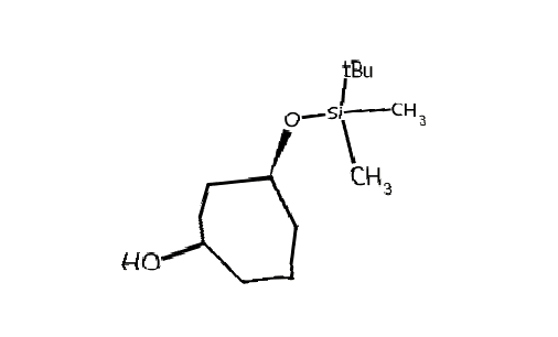 CC(C)(C)[Si](C)(C)O[C@H]1CCCC(O)C1